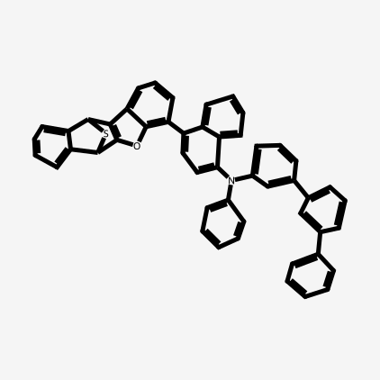 c1ccc(-c2cccc(-c3cccc(N(c4ccccc4)c4ccc(-c5cccc6c7c(oc56)C5SC7c6ccccc65)c5ccccc45)c3)c2)cc1